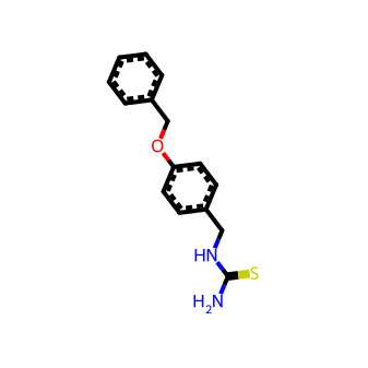 NC(=S)NCc1ccc(OCc2ccccc2)cc1